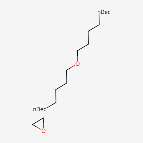 C1CO1.CCCCCCCCCCCCCCOCCCCCCCCCCCCCC